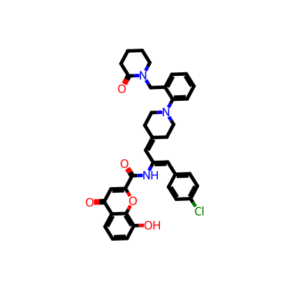 O=C(N/C(C=C1CCN(c2ccccc2CN2CCCCC2=O)CC1)=C\c1ccc(Cl)cc1)c1cc(=O)c2cccc(O)c2o1